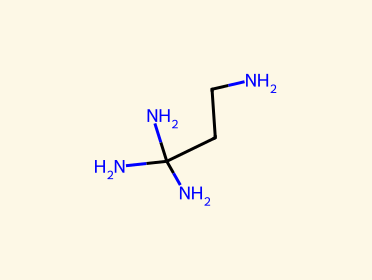 NCCC(N)(N)N